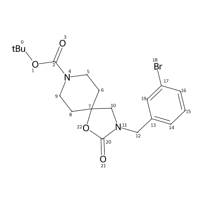 CC(C)(C)OC(=O)N1CCC2(CC1)CN(Cc1cccc(Br)c1)C(=O)O2